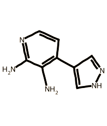 Nc1nccc(-c2cn[nH]c2)c1N